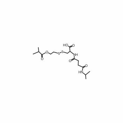 CC(C)NC(=O)CCC(=O)NC(CSSCCOC(=O)C(C)C)C(=O)O